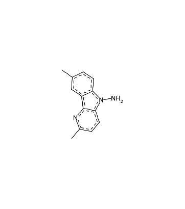 Cc1ccc2c(c1)c1nc(C)ccc1n2N